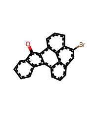 O=c1c2ccccc2c2c3cccc4cc(Br)c5cccc(c12)c5c43